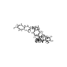 Cc1ccc(CC(=O)Nc2ccc(S(=O)(=O)Nc3nccs3)cc2)cc1